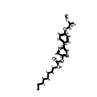 CCCCCCCCOC(=O)Oc1cnc(-c2ccc(OCC(C)CC)cc2)cn1